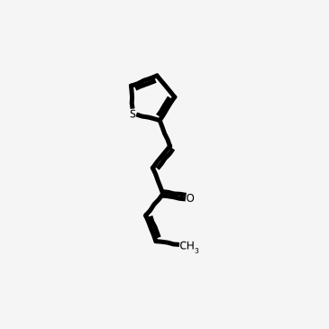 C/C=C\C(=O)/C=C/c1cccs1